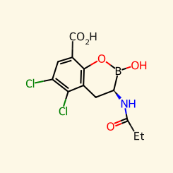 CCC(=O)N[C@H]1Cc2c(Cl)c(Cl)cc(C(=O)O)c2OB1O